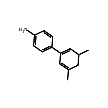 CC1=CC(c2ccc(N)cc2)=CC(C)C1